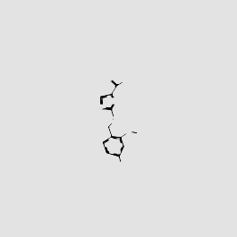 COc1cc(C)ccc1CNc1ncc(C(C)=O)s1